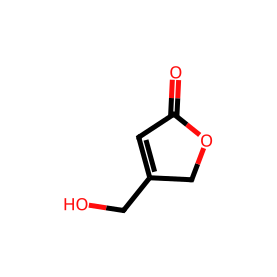 O=C1C=C(CO)CO1